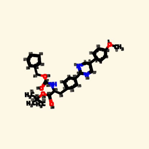 COc1ccc(-c2cnc(-c3ccc(C[C@H](NC(=O)OCc4ccccc4)C(=O)OC(C)(C)C)cc3)nc2)cc1